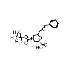 CC(C)(C)OC(=O)N1C[C@@H](COCc2ccccc2)O[C@@H](C(=O)O)C1